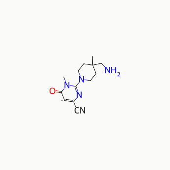 Cn1c(N2CCC(C)(CN)CC2)nc(C#N)[c]c1=O